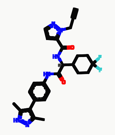 C#CCn1nccc1C(=O)N[C@H](C(=O)Nc1ccc(-c2c(C)n[nH]c2C)cc1)C1CCC(F)(F)CC1